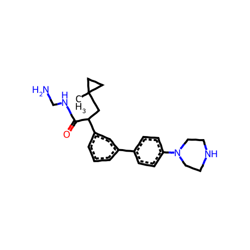 CC1(CC(C(=O)NCN)c2cccc(-c3ccc(N4CCNCC4)cc3)c2)CC1